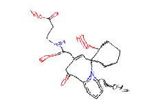 Cc1ccc2n1C1(C=C(C(=O)NCC(=O)O)C2=O)CCCCC1O